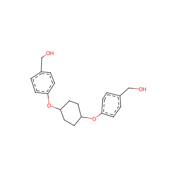 OCc1ccc(OC2CCC(Oc3ccc(CO)cc3)CC2)cc1